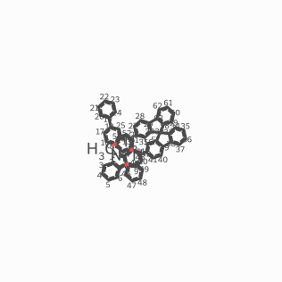 Cn1c2ccccc2c2cccc(N(c3cccc(-c4ccccc4)c3)c3ccc4c(c3)C3(c5ccccc5-c5ccc(N(c6ccccc6)c6ccccc6)cc53)c3ccccc3-4)c21